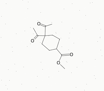 COC(=O)C1CCC(C(C)=O)(C(C)=O)CC1